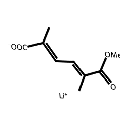 COC(=O)C(C)=CC=C(C)C(=O)[O-].[Li+]